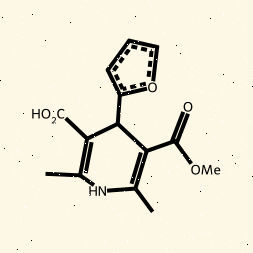 COC(=O)C1=C(C)NC(C)=C(C(=O)O)C1c1ccco1